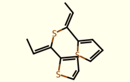 C/C=C(\S/C(=C\C)c1cccs1)c1cccs1